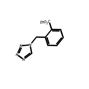 CCOC(=O)c1ccccc1Cn1cnnn1